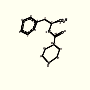 O=C(O)[C@H](Cc1ccccc1)OC(=O)N1CCSCC1